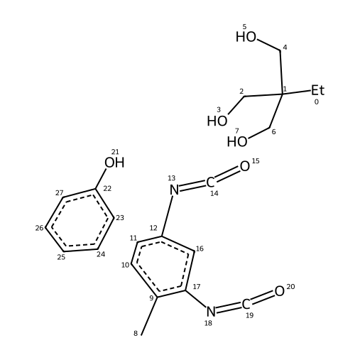 CCC(CO)(CO)CO.Cc1ccc(N=C=O)cc1N=C=O.Oc1ccccc1